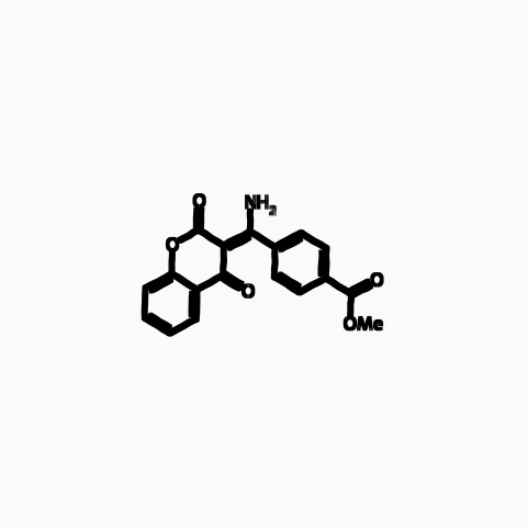 COC(=O)c1ccc(/C(N)=C2/C(=O)Oc3ccccc3C2=O)cc1